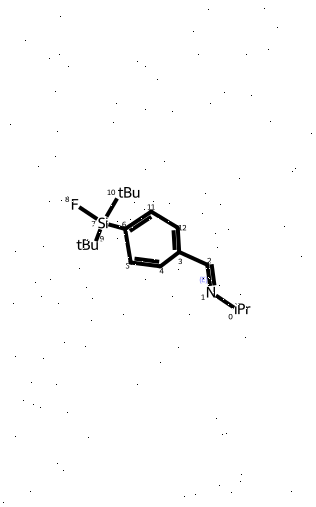 CC(C)/N=C/c1ccc([Si](F)(C(C)(C)C)C(C)(C)C)cc1